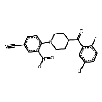 N#Cc1ccc(N2CCC(C(=O)c3cc(Cl)ccc3F)CC2)c([N+](=O)[O-])c1